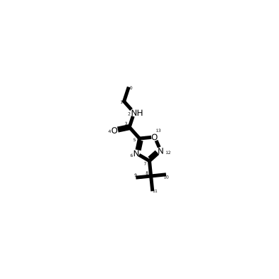 CCNC(=O)c1nc(C(C)(C)C)no1